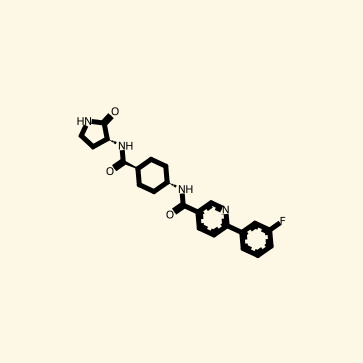 O=C(N[C@H]1CC[C@H](C(=O)N[C@@H]2CCNC2=O)CC1)c1ccc(-c2cccc(F)c2)nc1